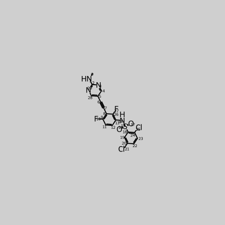 CNc1ncc(C#Cc2c(F)ccc(NS(=O)(=O)c3cc(Cl)ccc3Cl)c2F)cn1